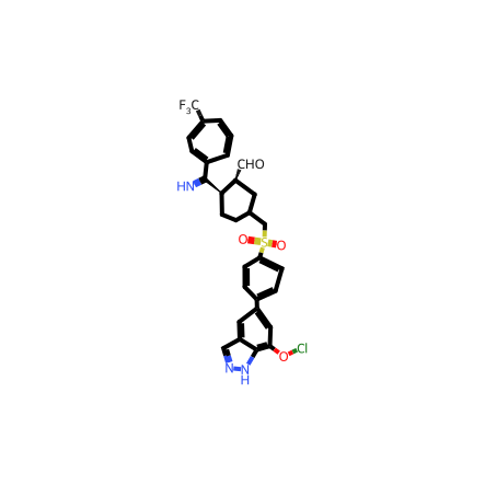 N=C(C1=CC=C(C(F)(F)F)C=C=C1)[C@@H]1CCC(CS(=O)(=O)c2ccc(-c3cc(OCl)c4[nH]ncc4c3)cc2)C[C@@H]1C=O